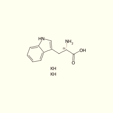 N[C@@H](Cc1c[nH]c2ccccc12)C(=O)O.[KH].[KH]